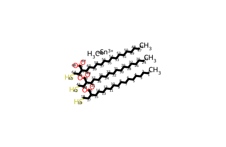 CCCCCCCCCCCCCCCCC(CCS)C(=O)[O-].CCCCCCCCCCCCCCCCC(CCS)C(=O)[O-].CCCCCCCCCCCCCCCCC(CCS)C(=O)[O-].[CH3][Sn+3]